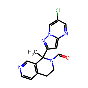 CC1(c2cc3ncc(Cl)cn3n2)c2cnccc2CCN1C=O